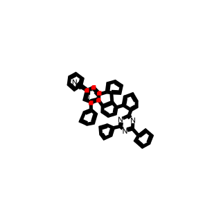 N#Cc1ccc(-c2cccc(-c3ccccc3-c3nc(-c4ccccc4)nc(-c4ccccc4)n3)c2-c2ccccc2-c2nc(-c3ccccc3)nc(-c3ccccc3)n2)cc1